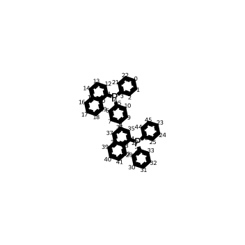 c1ccc(P(c2ccccc2)c2cccc3ccccc23)cc1.c1ccc(P(c2ccccc2)c2cccc3ccccc23)cc1